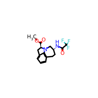 COC(=O)[C@@H]1Cc2cccc3c2N1C[C@H](NC(=O)C(F)(F)F)CC3